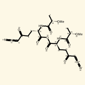 CO[C@@H](C)C(=O)N[C@@H](CCC(=O)C=[N+]=[N-])C(=O)OC(=O)[C@H](CCC(=O)C=[N+]=[N-])NC(=O)[C@H](C)OC